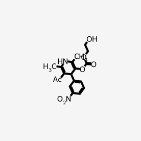 CC(=O)C1=C(C)NC(C)=C(OC(=O)OCCO)C1c1cccc([N+](=O)[O-])c1